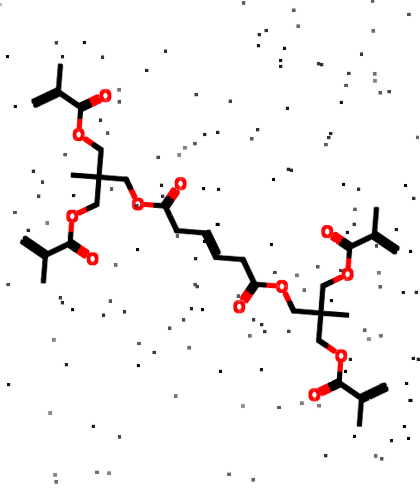 C=C(C)C(=O)OCC(C)(COC(=O)C/C=C/CC(=O)OCC(C)(COC(=O)C(=C)C)COC(=O)C(=C)C)COC(=O)C(=C)C